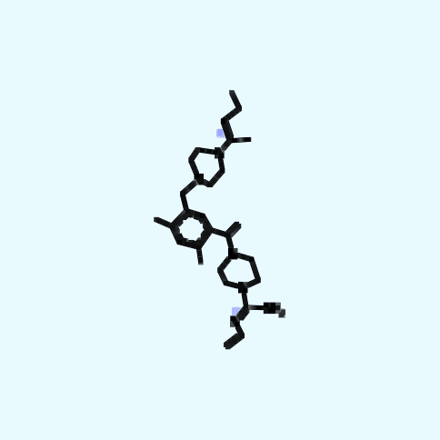 C=C/N=C(\N)N1CCN(C(=C)c2cc(CN3CCN(/C(C)=C/CC)CC3)c(C)cc2C)CC1